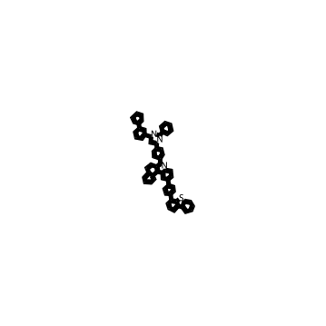 c1ccc(-c2cccc(-c3cc(-c4ccc(-c5nc6ccc(-c7ccc(-c8cccc9c8sc8ccccc89)cc7)cc6c6c5ccc5ccccc56)cc4)nc(-c4ccccc4)n3)c2)cc1